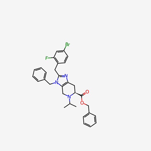 CC(C)N1Cc2c(nc(Cc3ccc(Br)cc3F)n2Cc2ccccc2)C[C@H]1C(=O)OCc1ccccc1